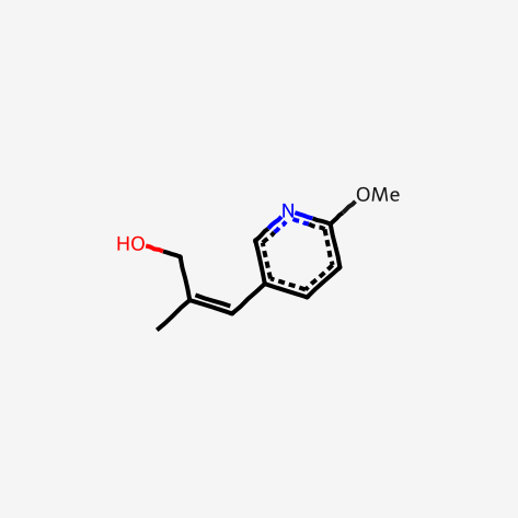 COc1ccc(C=C(C)CO)cn1